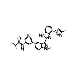 Cc1cn(-c2cccc3[nH]c(-c4n[nH]c5ccc(-c6cncc(NC(=O)C(C)C)c6)cc45)nc23)cn1